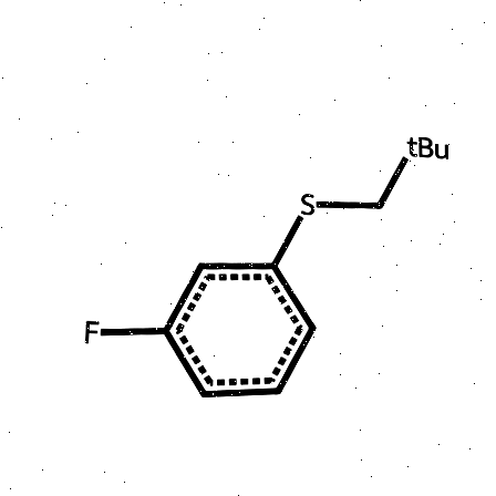 CC(C)(C)CSc1cccc(F)c1